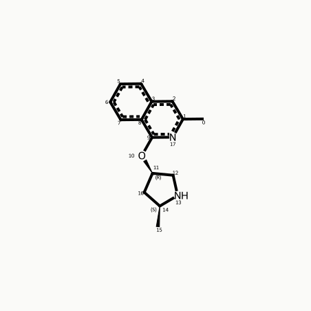 Cc1cc2ccccc2c(O[C@H]2CN[C@@H](C)C2)n1